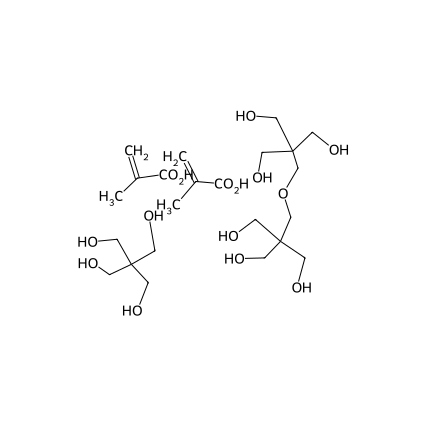 C=C(C)C(=O)O.C=C(C)C(=O)O.OCC(CO)(CO)CO.OCC(CO)(CO)COCC(CO)(CO)CO